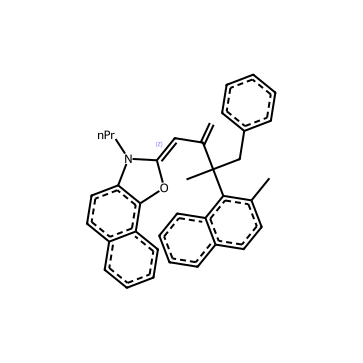 C=C(/C=C1\Oc2c(ccc3ccccc23)N1CCC)C(C)(Cc1ccccc1)c1c(C)ccc2ccccc12